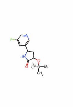 CC(C)(C)[Si](C)(C)OC1CC(c2cncc(F)c2)NC1=O